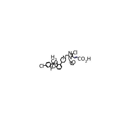 C[C@]1(c2ccc(Cl)cc2F)Oc2cccc(C3CCN(Cc4nc(Cl)c(/C=C/C(=O)O)n4C[C@@H]4CCO4)CC3)c2O1